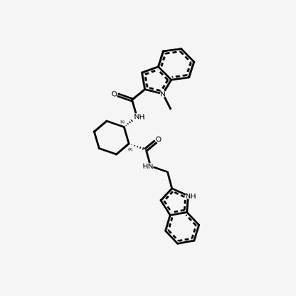 Cn1c(C(=O)N[C@H]2CCCC[C@H]2C(=O)NCc2cc3ccccc3[nH]2)cc2ccccc21